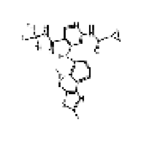 [2H]C([2H])([2H])NC(=O)c1cnc(NC(=O)C2CC2)cc1Nc1cccc2c1N(C)Cc1sc(C)nc1-2